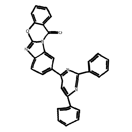 O=c1c2ccccc2oc2nc3ccc(-c4cc(-c5ccccc5)nc(-c5ccccc5)n4)cc3n12